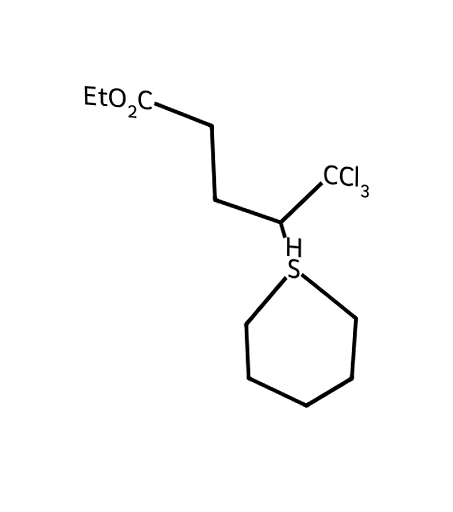 CCOC(=O)CCC([SH]1CCCCC1)C(Cl)(Cl)Cl